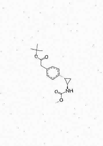 COC(=O)N[C@@H]1C[C@H]1c1ccc(CC(=O)OC(C)(C)C)cc1